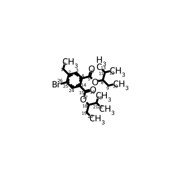 CCc1cc(C(=O)OC(CC)C(C)C)c(C(=O)OC(CC)C(C)C)cc1Br